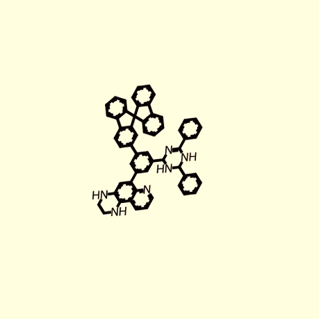 c1ccc(C2=NC(c3cc(-c4ccc5c(c4)C4(c6ccccc6-c6ccccc64)c4ccccc4-5)cc(-c4cc5c(c6cccnc46)NCCN5)c3)NC(c3ccccc3)N2)cc1